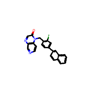 O=c1cnc2cnccc2n1Cc1ccc(-c2ccc3ccccc3c2)cc1F